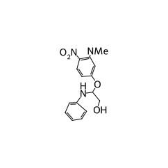 CNc1cc(OC(CO)Nc2ccccc2)ccc1[N+](=O)[O-]